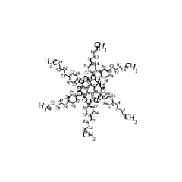 CCCCCc1ccc(OC(=O)c2c(C(=O)Oc3ccc(CCCCC)cc3)c(C(=O)Oc3ccc(CCCCC)cc3)c(C(=O)Oc3ccc(CCCCC)cc3)c(C(=O)Oc3ccc(CCCCC)cc3)c2C(=O)Oc2ccc(CCCCC)cc2)cc1